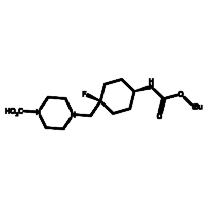 CC(C)(C)OC(=O)N[C@H]1CC[C@](F)(CN2CCN(C(=O)O)CC2)CC1